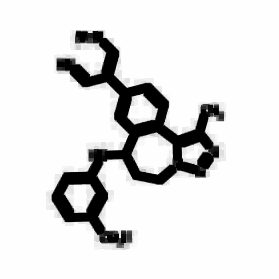 CN/C=C(\C=N)c1ccc2c(c1)C(Nc1cccc(C(=O)O)c1)CCn1nnc(C)c1-2